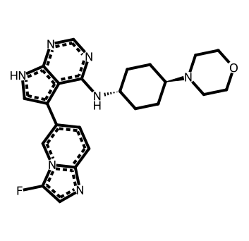 Fc1cnc2ccc(-c3c[nH]c4ncnc(N[C@H]5CC[C@H](N6CCOCC6)CC5)c34)cn12